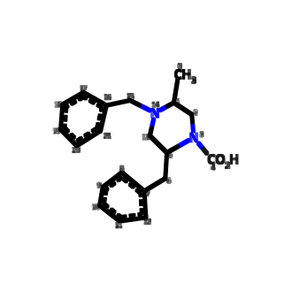 CC1CN(C(=O)O)C(Cc2ccccc2)CN1Cc1ccccc1